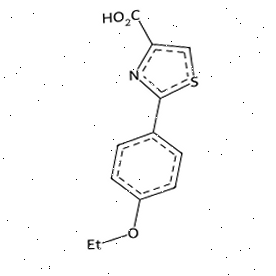 CCOc1ccc(-c2nc(C(=O)O)cs2)cc1